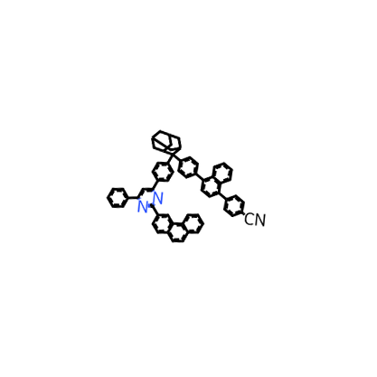 N#Cc1ccc(-c2ccc(-c3ccc(C4(c5ccc(-c6cc(-c7ccccc7)nc(-c7ccc8ccc9ccccc9c8c7)n6)cc5)C5CC6CC(C5)CC4C6)cc3)c3ccccc23)cc1